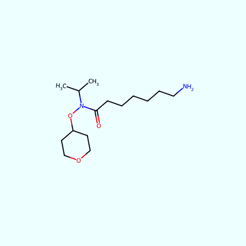 CC(C)N(OC1CCOCC1)C(=O)CCCCCCN